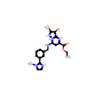 CCOC(=O)c1cc(NCc2cccc(-c3nccn3C)c2)n2nc(C)c(Br)c2n1